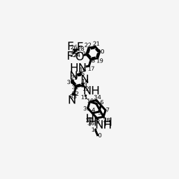 CCN[C@@H]1[C@@H]2CC3C[C@H]1C[C@](CNc1nc(NCc4ccccc4OC(F)(F)F)ncc1C#N)(C3)C2